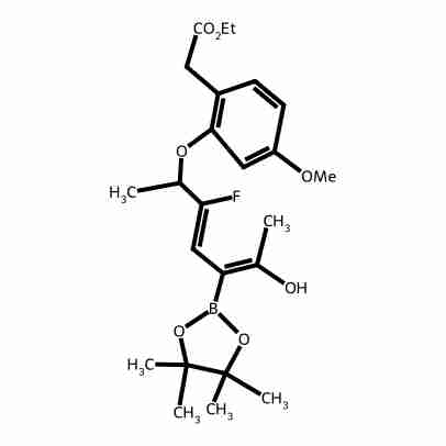 CCOC(=O)Cc1ccc(OC)cc1OC(C)/C(F)=C/C(B1OC(C)(C)C(C)(C)O1)=C(\C)O